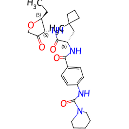 CC[C@@H]1OCC(=O)[C@H]1NC(=O)[C@H](CC1(C)CCC1)NC(=O)c1ccc(NC(=O)N2CCCCC2)cc1